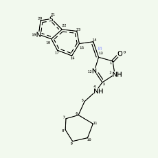 O=C1NC(NCC2CCCCC2)=N/C1=C\c1ccc2ncsc2c1